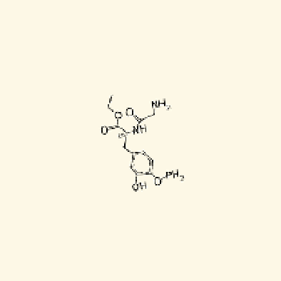 CCOC(=O)[C@H](Cc1ccc(OP)c(O)c1)NC(=O)CN